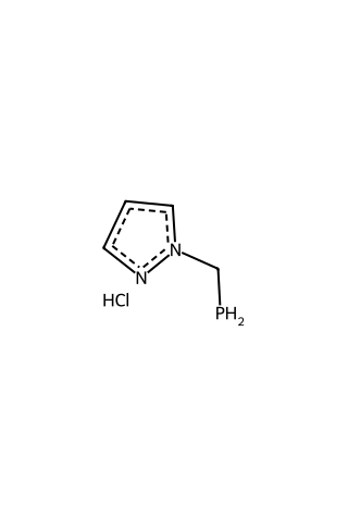 Cl.PCn1cccn1